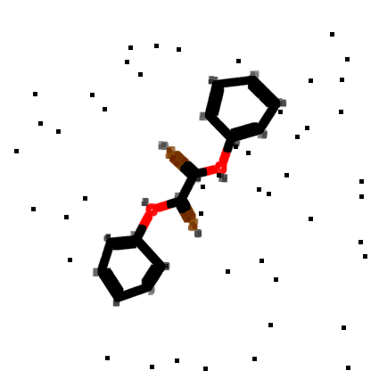 S=C(Oc1ccccc1)C(=S)Oc1ccccc1